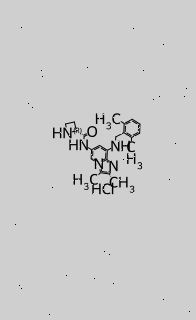 Cc1cccc(C)c1CNc1cc(NC(=O)[C@H]2CCN2)cn2c(C)c(C)nc12.Cl